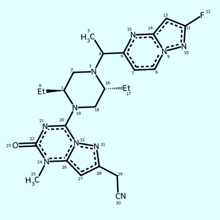 CC[C@H]1CN(C(C)c2ccn3nc(F)cc3n2)[C@H](CC)CN1c1nc(=O)n(C)c2cc(CC#N)nn12